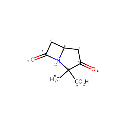 CC1(C(=O)O)C(=O)CC2CC(=O)N21